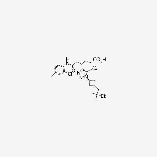 CCC(C)(C)CC1CC(n2nnc(C(CCC(=O)O)CC(=O)Nc3ccc(C)cc3Cl)c2C2CC2)C1